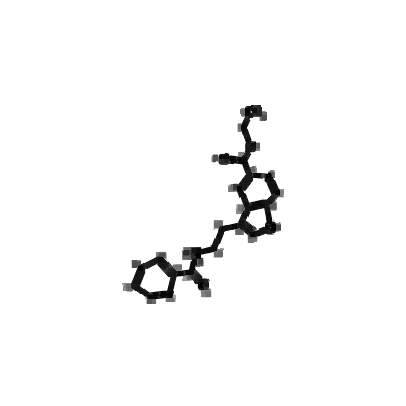 CCOC(=O)c1ccc2occ(CCNC(=O)c3ccccc3)c2c1